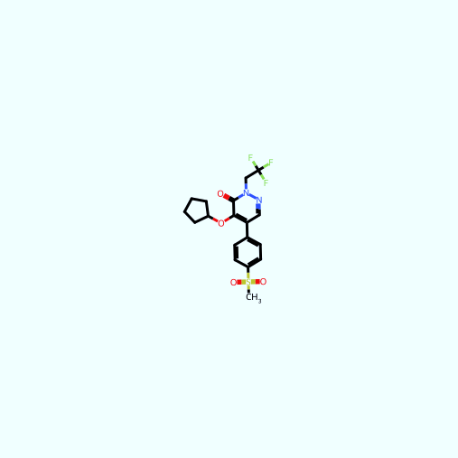 CS(=O)(=O)c1ccc(-c2cnn(CC(F)(F)F)c(=O)c2OC2CCCC2)cc1